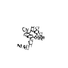 COCCNc1cc2ncc(C#N)c(Nc3cc(OC)c(Cl)cc3Cl)c2cc1OC